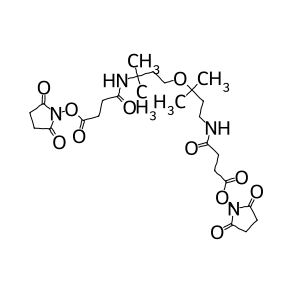 CC(C)(CCOC(C)(C)CCNC(=O)CCC(=O)ON1C(=O)CCC1=O)NC(=O)CCC(=O)ON1C(=O)CCC1=O